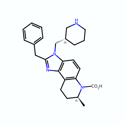 C[C@H]1CCc2c(ccc3c2nc(Cc2ccccc2)n3C[C@H]2CCCNC2)N1C(=O)O